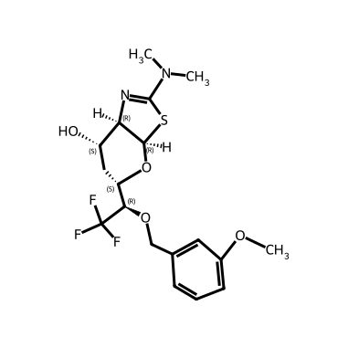 COc1cccc(CO[C@H]([C@@H]2C[C@H](O)[C@H]3N=C(N(C)C)S[C@H]3O2)C(F)(F)F)c1